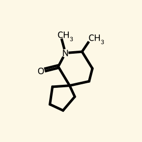 CC1CCC2(CCCC2)C(=O)N1C